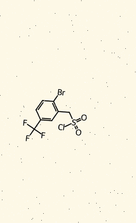 O=S(=O)(Cl)Cc1cc(C(F)(F)F)ccc1Br